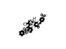 O=c1ccc(Nc2ncc(Cl)c(-c3cn(S(=O)(=O)c4ccccc4)c4ncccc34)n2)cn1Cc1ccc([N+](=O)[O-])cc1